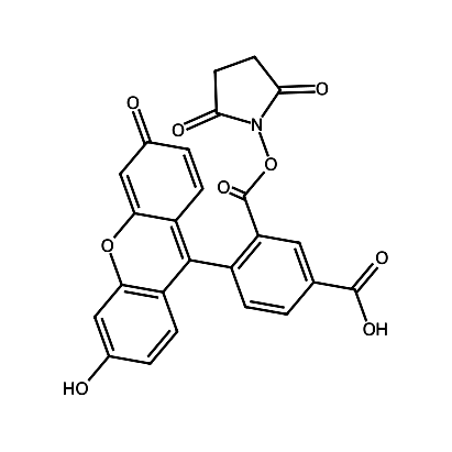 O=C(O)c1ccc(-c2c3ccc(=O)cc-3oc3cc(O)ccc23)c(C(=O)ON2C(=O)CCC2=O)c1